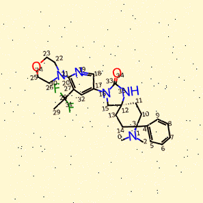 CN(C)[C@]1(c2ccccc2)CC[C@]2(CC1)CN(c1cnc(N3CCOCC3)c(C(C)(F)F)c1)C(=O)N2